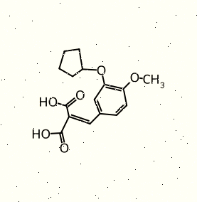 COc1ccc(C=C(C(=O)O)C(=O)O)cc1OC1CCCC1